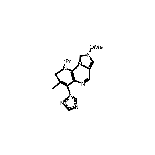 CCCN1CC(C)=C(n2cncn2)C2=C1N1CN(OC)C=C1C=N2